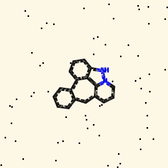 c1ccc2c(c1)cc1cccn3[nH]c4cccc2c4=c13